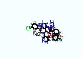 CCN(CC)c1ccncc1C(=C(C#N)c1c[nH]c2ccc(Br)cc12)/C(=C(/C#N)c1c[nH]c2ccc(Cl)cc12)c1cnccc1Oc1ccc(F)cc1